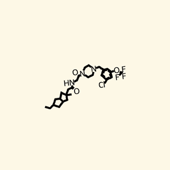 CCC1CC2CC(C)(CC(=O)NCC(=O)N3CCN(Cc4cc(Cl)cc(OC(F)(F)F)c4)CC3)CC2C1